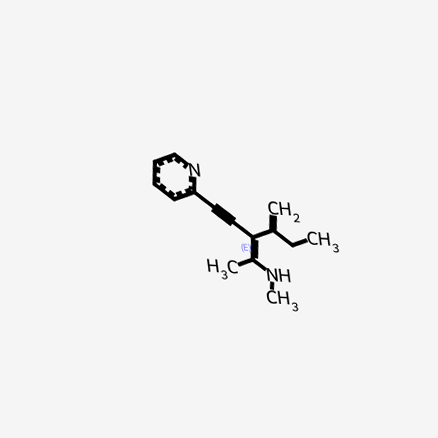 C=C(CC)/C(C#Cc1ccccn1)=C(/C)NC